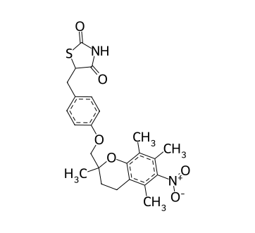 Cc1c(C)c([N+](=O)[O-])c(C)c2c1OC(C)(COc1ccc(CC3SC(=O)NC3=O)cc1)CC2